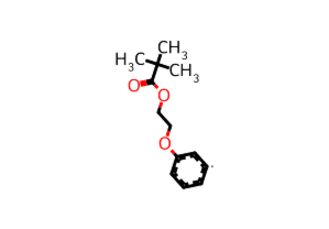 CC(C)(C)C(=O)OCCOc1c[c]ccc1